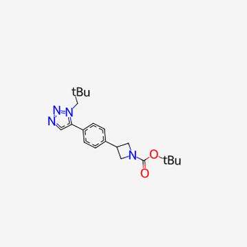 CC(C)(C)Cn1nncc1-c1ccc(C2CN(C(=O)OC(C)(C)C)C2)cc1